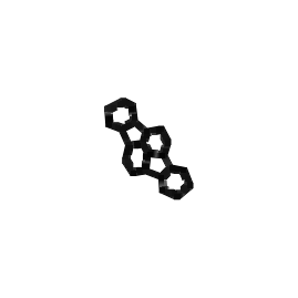 c1ccc2c(c1)-c1ccc3c4c(ccc-2c14)-c1ccccc1-3